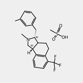 CS(=O)(=O)O.Cc1cccc(C[C@@H]2C3CCc4c(cccc4C(F)(F)F)[C@@H]3CN2C)c1